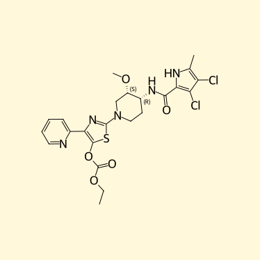 CCOC(=O)Oc1sc(N2CC[C@@H](NC(=O)c3[nH]c(C)c(Cl)c3Cl)[C@@H](OC)C2)nc1-c1ccccn1